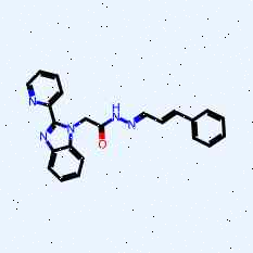 O=C(Cn1c(-c2ccccn2)nc2ccccc21)N/N=C/C=C/c1ccccc1